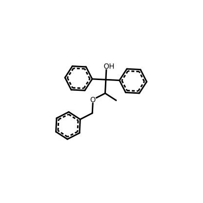 CC(OCc1ccccc1)C(O)(c1ccccc1)c1ccccc1